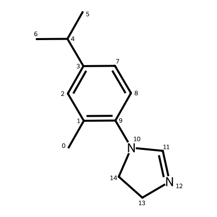 Cc1cc(C(C)C)ccc1N1C=NCC1